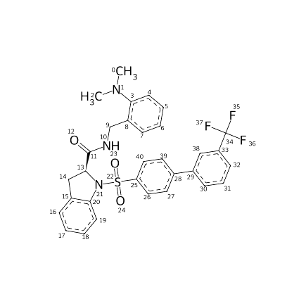 CN(C)c1ccccc1CNC(=O)[C@@H]1Cc2ccccc2N1S(=O)(=O)c1ccc(-c2cccc(C(F)(F)F)c2)cc1